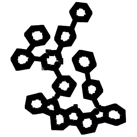 c1ccc(-c2ccc(-c3nc(-c4cccc(-n5c6ccccc6c6ccc7c8ccc9c%10ccccc%10n(-c%10ccc(-c%11ccccc%11)cc%10)c9c8sc7c65)c4)nc(-c4ccccc4-c4ccccc4)n3)cc2)cc1